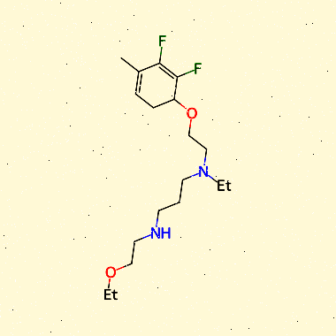 CCOCCNCCCN(CC)CCOC1CC=C(C)C(F)=C1F